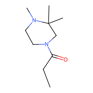 CCC(=O)N1CCN(C)C(C)(C)C1